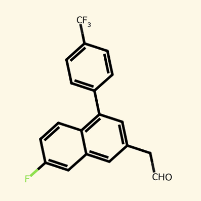 O=CCc1cc(-c2ccc(C(F)(F)F)cc2)c2ccc(F)cc2c1